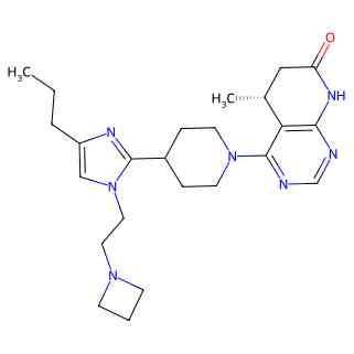 CCCc1cn(CCN2CCC2)c(C2CCN(c3ncnc4c3[C@H](C)CC(=O)N4)CC2)n1